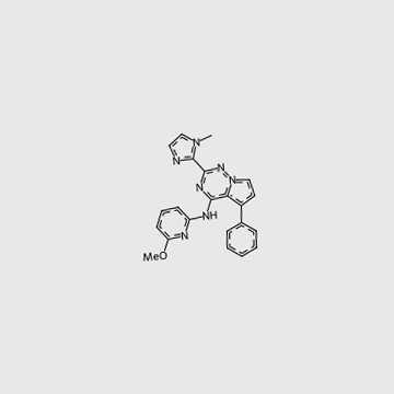 COc1cccc(Nc2nc(-c3nccn3C)nn3ccc(-c4ccccc4)c23)n1